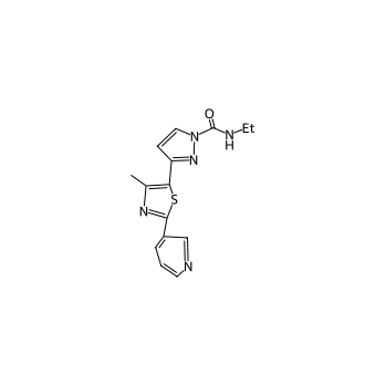 CCNC(=O)n1ccc(-c2sc(-c3cccnc3)nc2C)n1